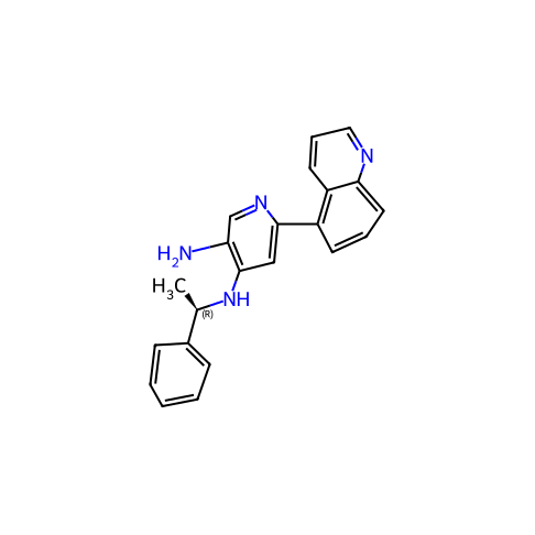 C[C@@H](Nc1cc(-c2cccc3ncccc23)ncc1N)c1ccccc1